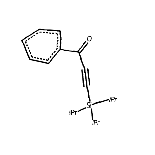 CC(C)[Si](C#CC(=O)c1ccccc1)(C(C)C)C(C)C